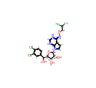 OC(c1ccc(Cl)c(Cl)c1)[C@H]1O[C@@H](n2ccc3c(=NOCC(F)F)[nH]cnc32)[C@H](O)[C@@H]1O